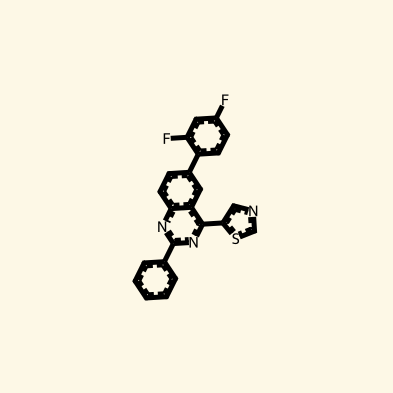 Fc1ccc(-c2ccc3nc(-c4ccccc4)nc(-c4cncs4)c3c2)c(F)c1